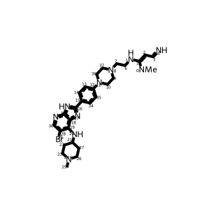 CN/C(=C\C=N)NCCN1CCN(c2ccc(-c3nc4c(NC5CCN(C)CC5)c(Br)cnc4[nH]3)cc2)CC1